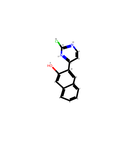 Oc1cc2ccccc2cc1-c1ccnc(Cl)n1